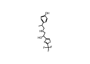 CC(CNCC(O)c1csc(C(F)(F)F)n1)c1ccc(O)cc1